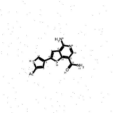 CC(=O)c1cc(-c2cc3c(N)ncc(C(N)=O)c3s2)cs1